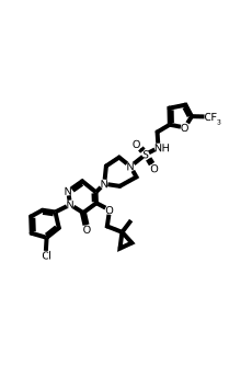 CC1(COc2c(N3CCN(S(=O)(=O)NCc4ccc(C(F)(F)F)o4)CC3)cnn(-c3cccc(Cl)c3)c2=O)CC1